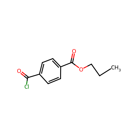 CCCOC(=O)c1ccc(C(=O)Cl)cc1